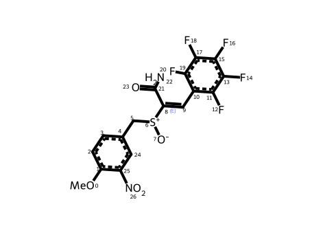 COc1ccc(C[S+]([O-])/C(=C/c2c(F)c(F)c(F)c(F)c2F)C(N)=O)cc1[N+](=O)[O-]